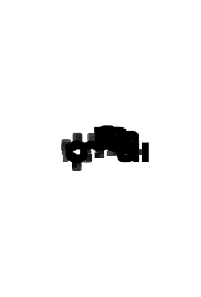 O=C(CCc1ccccc1)CP(=O)(O)O